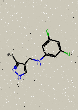 CC(C)(C)c1n[nH]cc1CNc1cc(Cl)cc(Cl)c1